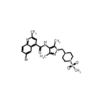 Cc1nn(CC2CCN(S(C)(=O)=O)CC2)c(C)c1NC(=O)c1cc(C(F)(F)F)nc2ccc(Br)cc12